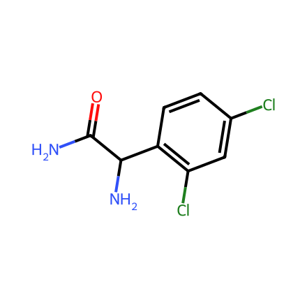 NC(=O)C(N)c1ccc(Cl)cc1Cl